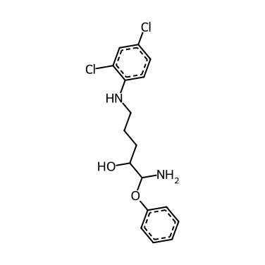 NC(Oc1ccccc1)C(O)CCCNc1ccc(Cl)cc1Cl